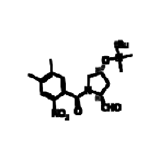 Cc1cc(C(=O)N2C[C@H](O[Si](C)(C)C(C)(C)C)C[C@H]2C=O)c([N+](=O)[O-])cc1C